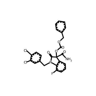 NC(=O)C1(OC(=O)OCc2ccccc2)C(=O)N(Cc2ccc(Cl)c(Cl)c2)c2c(F)cccc21